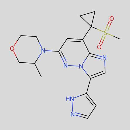 CC1COCCN1c1cc(C2(S(C)(=O)=O)CC2)c2ncc(-c3ccn[nH]3)n2n1